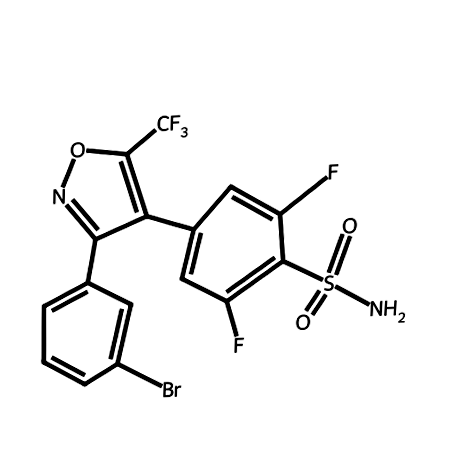 NS(=O)(=O)c1c(F)cc(-c2c(-c3cccc(Br)c3)noc2C(F)(F)F)cc1F